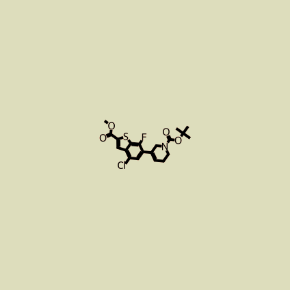 COC(=O)c1cc2c(Cl)cc(C3=CCCN(C(=O)OC(C)(C)C)C3)c(F)c2s1